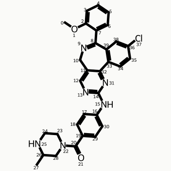 COc1ccccc1C1=NCc2cnc(Nc3ccc(C(=O)N4CCNC(C)C4)cc3)nc2-c2ccc(Cl)cc21